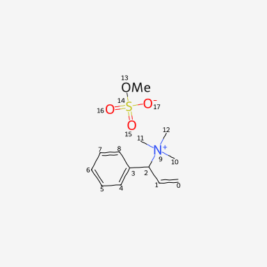 C=CC(c1ccccc1)[N+](C)(C)C.COS(=O)(=O)[O-]